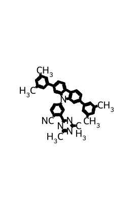 Cc1cc(C)cc(-c2ccc3c4ccc(-c5cc(C)cc(C)c5)cc4n(-c4ccc(C#N)c(-c5nc(C)nc(C)n5)c4)c3c2)c1